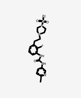 CCS(=O)(=O)N1CCN(CCc2cccc(NC(=O)Nc3ccc(C)nc3)c2F)CC1